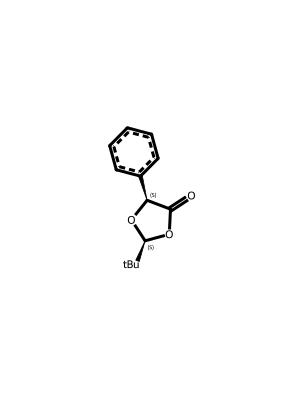 CC(C)(C)[C@@H]1OC(=O)[C@H](c2ccccc2)O1